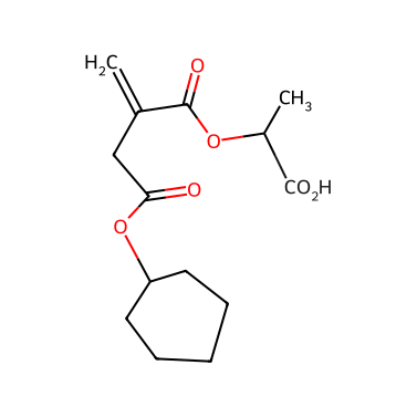 C=C(CC(=O)OC1CCCCC1)C(=O)OC(C)C(=O)O